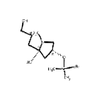 CC(C)(C)[C@@]1(CCCO)C[C@@H](O[Si](C)(C)C(C)(C)C)CN1C(=O)O